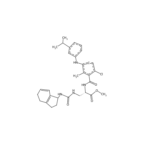 COC(=O)[C@H](CNC(=O)NC1CCC2=C1C=CCC2)NC(=O)c1c(Cl)ccc(Nc2cccc(C(C)C)c2)c1C